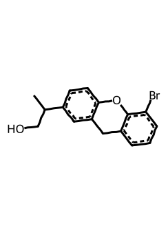 CC(CO)c1ccc2c(c1)Cc1cccc(Br)c1O2